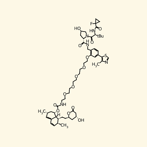 Cc1ncsc1-c1ccc(CNC(=O)[C@@H]2C[C@@H](O)CN2C(=O)[C@@H](NC(=O)C2(F)CC2)C(C)(C)C)c(OCCOCCOCCOCCOCCNC(=O)O[C@H]2C[C@@H](C)C=C3C=C[C@H](C)[C@H](CC[C@@H]4C[C@@H](O)CC(=O)O4)[C@H]32)c1